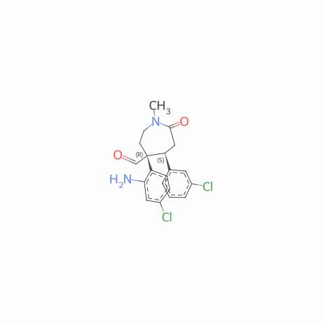 CN1CC[C@](C=O)(c2ccc(Cl)cc2N)[C@H](c2cccc(Cl)c2)CC1=O